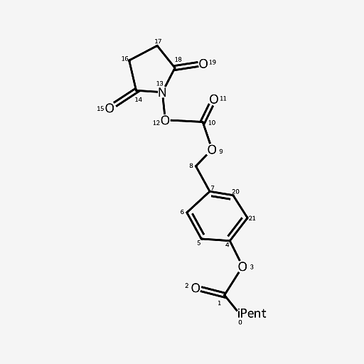 CCCC(C)C(=O)Oc1ccc(COC(=O)ON2C(=O)CCC2=O)cc1